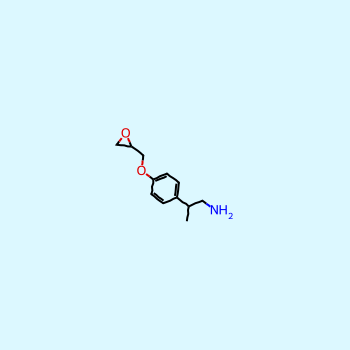 CC(CN)c1ccc(OCC2CO2)cc1